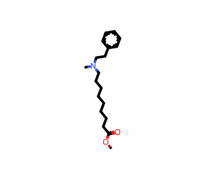 COC(=O)CCCCCCCCN(C)CCc1ccccc1